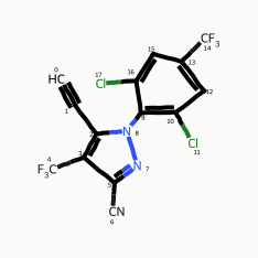 C#Cc1c(C(F)(F)F)c(C#N)nn1-c1c(Cl)cc(C(F)(F)F)cc1Cl